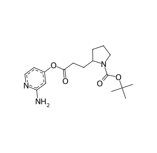 CC(C)(C)OC(=O)N1CCCC1CCC(=O)Oc1ccnc(N)c1